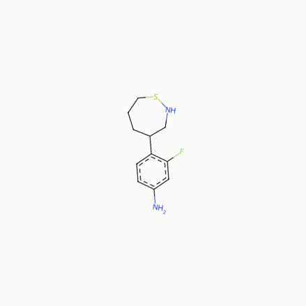 Nc1ccc(C2CCCSNC2)c(F)c1